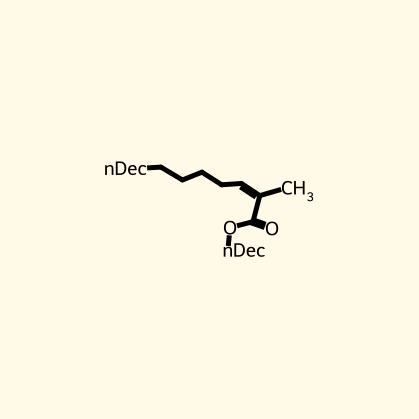 CCCCCCCCCCCCCCC=C(C)C(=O)OCCCCCCCCCC